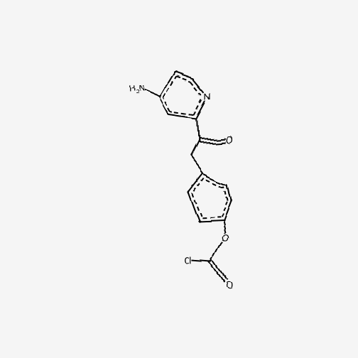 Nc1ccnc(C(=O)Cc2ccc(OC(=O)Cl)cc2)c1